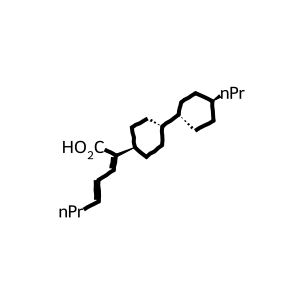 CCCC=CC=C(C(=O)O)[C@H]1CC[C@H]([C@H]2CC[C@H](CCC)CC2)CC1